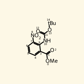 COC(=O)c1cccc([N+](=O)[O-])c1NC(=O)OC(C)(C)C